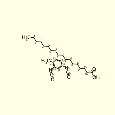 CCCCCCCCCCCCCCCCCC(=O)O.Cc1ccc(N=C=O)cc1N=C=O